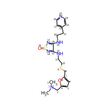 CN(C)Cc1ccc(CSCCNc2n[s+]([O-])nc2NCCc2ccncc2)o1